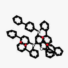 c1ccc(-c2ccc(-c3ccccc3N(c3ccc(-c4ccccc4)cc3)c3cc(N(c4ccc(-c5ccccc5)cc4)c4ccccc4-c4ccccc4)c4oc5cc6ccccc6cc5c4c3)cc2)cc1